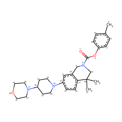 Cc1ccc(OC(=O)N2Cc3cc(N4CCC(N5CCOCC5)CC4)ccc3C(C)(C)C2)cc1